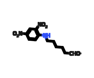 O=[C]CCCCCNc1ccc([N+](=O)[O-])cc1[N+](=O)[O-]